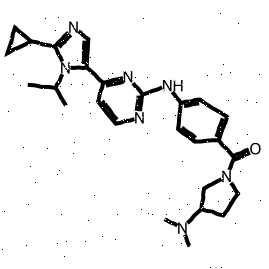 CC(C)n1c(-c2ccnc(Nc3ccc(C(=O)N4CCC(N(C)C)C4)cc3)n2)cnc1C1CC1